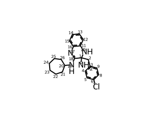 NC1(Cc2ccc(Cl)cc2)Nc2ccccc2N=C1NC1CCCCCC1